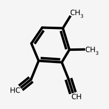 C#Cc1ccc(C)c(C)c1C#C